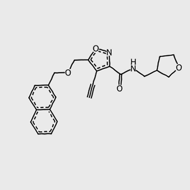 C#Cc1c(C(=O)NCC2CCOC2)noc1COCc1ccc2ccccc2c1